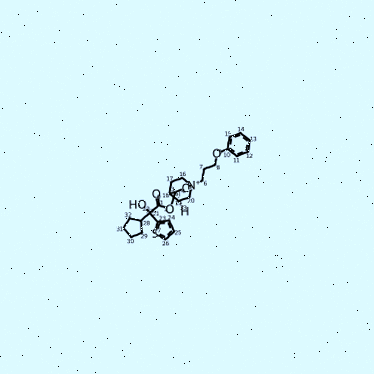 O=C(O[C@@H]1C[N+]2(CCCOc3ccccc3)CCC1CC2)[C@](O)(c1cccs1)C1CCCC1